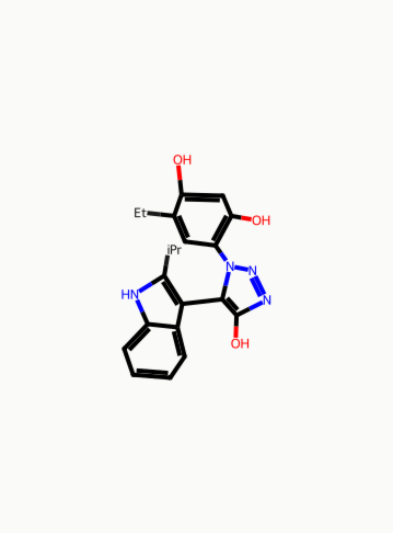 CCc1cc(-n2nnc(O)c2-c2c(C(C)C)[nH]c3ccccc23)c(O)cc1O